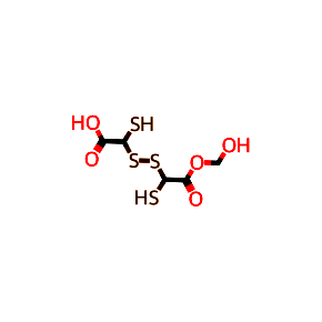 O=C(O)C(S)SSC(S)C(=O)OCO